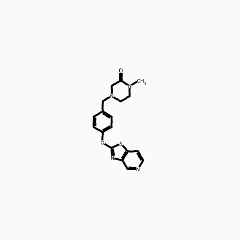 CN1CCN(Cc2ccc(Oc3nc4cnccc4s3)cc2)CC1=O